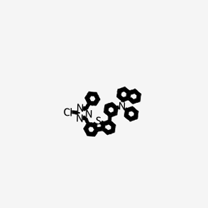 Clc1nc(-c2ccccc2)nc(-c2cccc3c2sc2c(-c4cccc(N(c5ccccc5)c5cccc6ccccc56)c4)cccc23)n1